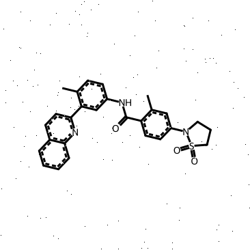 Cc1cc(N2CCCS2(=O)=O)ccc1C(=O)Nc1ccc(C)c(-c2ccc3ccccc3n2)c1